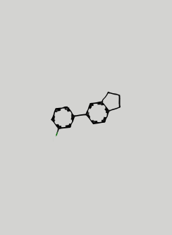 Fc1cc[c]c(-c2ccc3c(c2)CCC3)c1